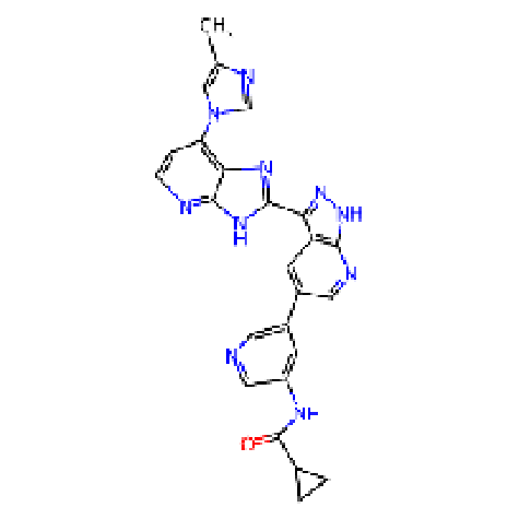 Cc1cn(-c2ccnc3[nH]c(-c4n[nH]c5ncc(-c6cncc(NC(=O)C7CC7)c6)cc45)nc23)cn1